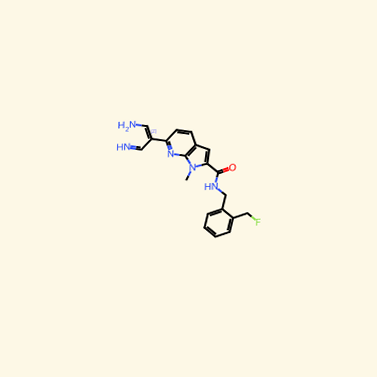 Cn1c(C(=O)NCc2ccccc2CF)cc2ccc(/C(C=N)=C/N)nc21